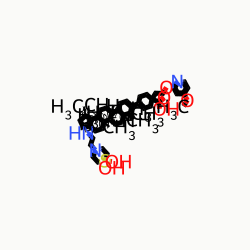 C=C(C)[C@@H]1CC[C@]2(NCCN3CCS(O)(O)CC3)CC[C@]3(C)[C@H](CC[C@@H]4[C@@]5(C)CC=C(C6=CCC(CCOc7cc(OC)ccn7)(C(=O)O)CC6)C(C)(C)[C@@H]5CC[C@]43C)[C@@H]12